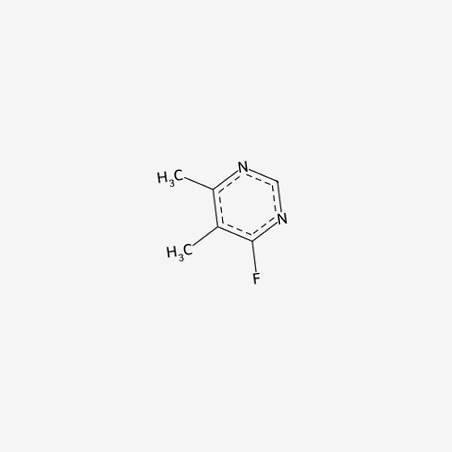 Cc1ncnc(F)c1C